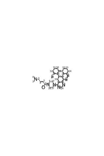 CN(C)C/C=C/C(=O)N1CCN(c2ncnc3c(F)c(-c4ccccc4F)c(-c4ccccc4F)cc23)CC1